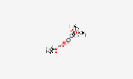 C=C(C)C(=O)OCCCCOC(=O)Oc1ccc(-c2ccc(C(=O)OC3CC(C)CCC3C(C)C)cc2)cc1